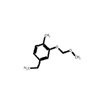 CCc1ccc(C)c(OCOC)c1